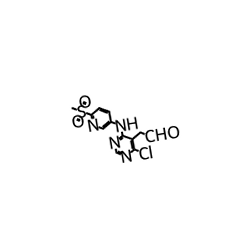 CS(=O)(=O)c1ccc(Nc2ncnc(Cl)c2CC=O)cn1